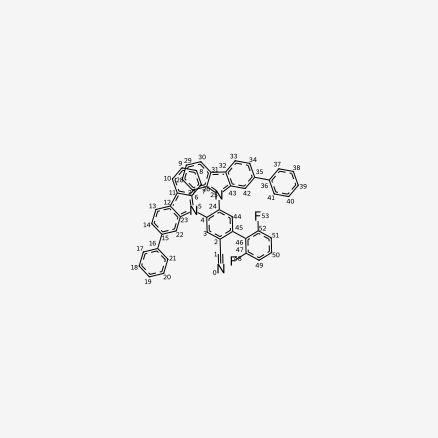 N#Cc1cc(-n2c3ccccc3c3ccc(-c4ccccc4)cc32)c(-n2c3ccccc3c3ccc(-c4ccccc4)cc32)cc1-c1c(F)cccc1F